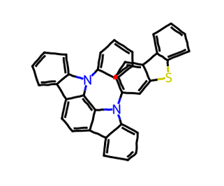 c1ccc(-n2c3ccccc3c3ccc4c5ccccc5n(-c5ccc6c(c5)sc5ccccc56)c4c32)cc1